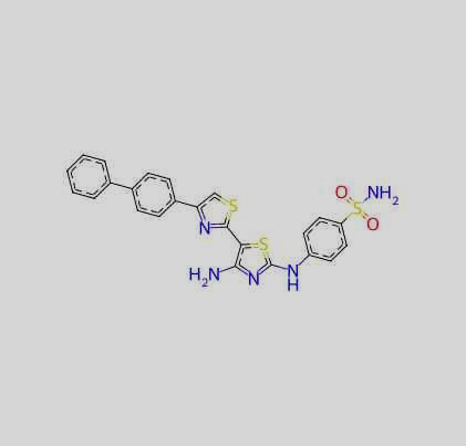 Nc1nc(Nc2ccc(S(N)(=O)=O)cc2)sc1-c1nc(-c2ccc(-c3ccccc3)cc2)cs1